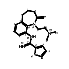 C=C1CCCc2cccc(NC(=N)c3cccs3)c2N1CCN(C)C